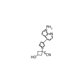 N#CCC1(n2ccc(-c3ccnc4c3ccn4P)c2)CC(O)C1